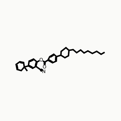 CCCCCCCCCC1CCC(c2ccc(C(=O)Oc3ccc(C4(C)C=CC=CC4)cc3C#N)cc2)CC1